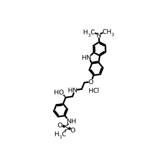 CN(C)c1ccc2c(c1)[nH]c1cc(OCCNC[C@H](O)c3cccc(NS(C)(=O)=O)c3)ccc12.Cl